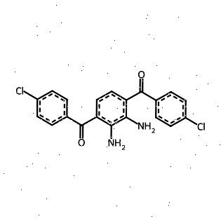 Nc1c(C(=O)c2ccc(Cl)cc2)ccc(C(=O)c2ccc(Cl)cc2)c1N